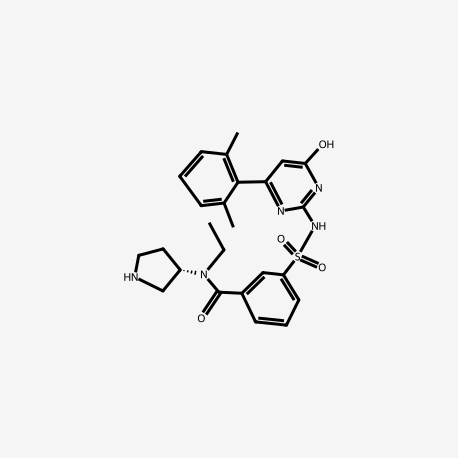 CCN(C(=O)c1cccc(S(=O)(=O)Nc2nc(O)cc(-c3c(C)cccc3C)n2)c1)[C@H]1CCNC1